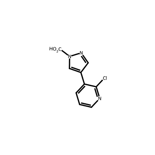 O=C(O)n1cc(-c2cccnc2Cl)cn1